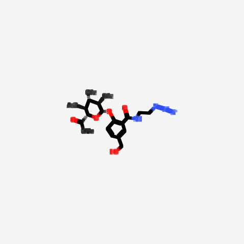 COC(=O)[C@H]1O[C@@H](Oc2ccc(CO)cc2C(=O)NCCN=[N+]=[N-])[C@H](OC(C)=O)[C@@H](OC(C)=O)[C@@H]1OC(C)=O